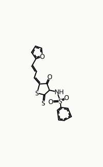 O=C1/C(=C\C=C\c2ccco2)SC(=S)C1NS(=O)(=O)c1ccccc1